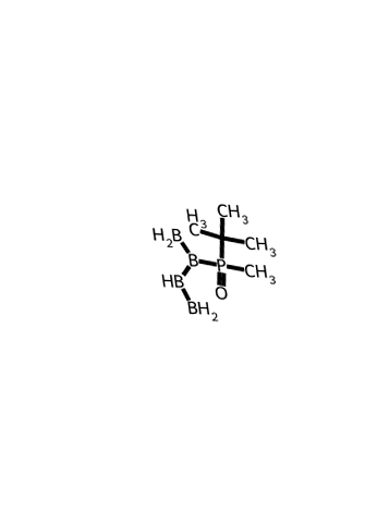 BBB(B)P(C)(=O)C(C)(C)C